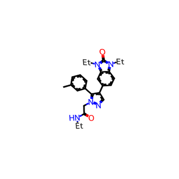 CCNC(=O)Cn1ncc(-c2ccc3c(c2)n(CC)c(=O)n3CC)c1-c1cccc(C)c1